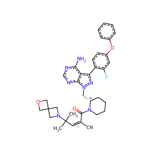 CC(C)(/C=C(/C#N)C(=O)N1CCCC[C@H]1Cn1nc(-c2ccc(Oc3ccccc3)cc2F)c2c(N)ncnc21)N1CC2(COC2)C1